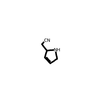 N#CCC1C=CCN1